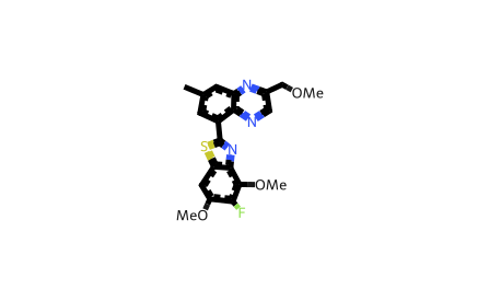 COCc1cnc2c(-c3nc4c(OC)c(F)c(OC)cc4s3)cc(C)cc2n1